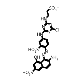 Nc1ccc2cc(S(=O)(=O)O)cc(O)c2c1/N=N/c1ccc(Nc2nc(Cl)nc(NCCS(=O)(=O)O)n2)cc1S(=O)(=O)O